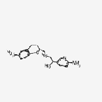 Nc1ccc(C(O)CNC[C@@H]2CCc3cc(S(=O)(=O)O)ccc3O2)cn1